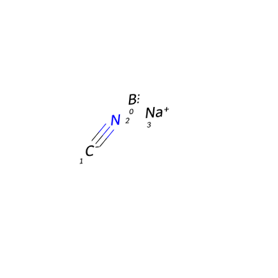 [B].[C-]#N.[Na+]